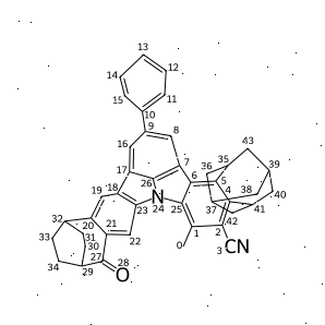 Cc1c(C#N)c2c(c3c4cc(-c5ccccc5)cc5c6cc7c(cc6n(c13)c54)C(=O)C1CCC7CC1)C1CC3CC(CC2C3)C1